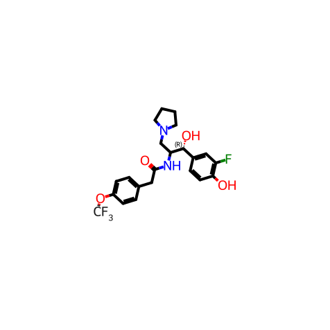 O=C(Cc1ccc(OC(F)(F)F)cc1)NC(CN1CCCC1)[C@H](O)c1ccc(O)c(F)c1